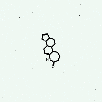 O=C1CCCC2C(=CCC3C4CC=CC4CCC23)N1